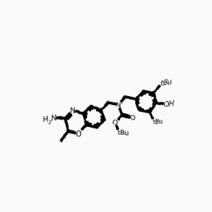 CC1Oc2ccc(CN(Cc3cc(C(C)(C)C)c(O)c(C(C)(C)C)c3)C(=O)OC(C)(C)C)cc2N=C1N